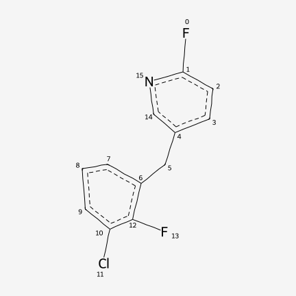 Fc1ccc(Cc2cccc(Cl)c2F)cn1